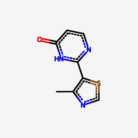 Cc1ncsc1-c1nccc(=O)[nH]1